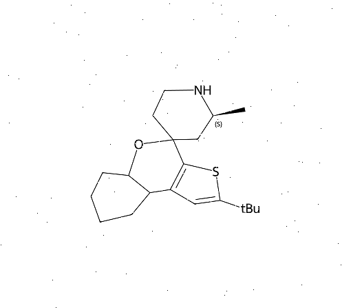 C[C@H]1CC2(CCN1)OC1CCCCC1c1cc(C(C)(C)C)sc12